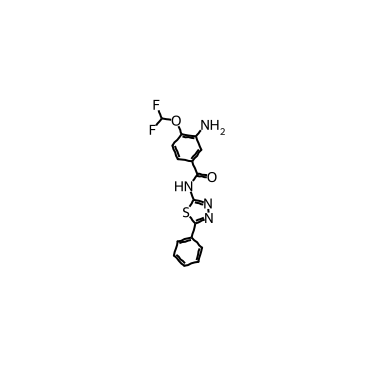 Nc1cc(C(=O)Nc2nnc(-c3ccccc3)s2)ccc1OC(F)F